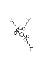 CC(C)CCCCOC(=O)c1ccc(C(=O)OCCCCC(C)C)c(C(=O)OCCCCC(C)C)c1